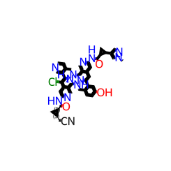 Cc1ccncc1-c1nc(NCc2ccc(O)cc2-c2cc3cc(NC(=O)C4CC4c4cnn(C)c4)ncc3c(N)n2)c2cnc(NC(=O)[C@@H]3C[C@H]3CC#N)cc2c1Cl